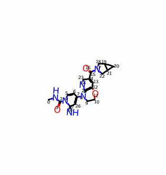 CNC(=O)n1ccc(N2CCOc3cc(C(=O)N4CC5CC5C4)cnc32)cc1=N